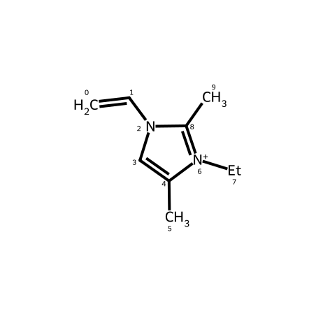 C=Cn1cc(C)[n+](CC)c1C